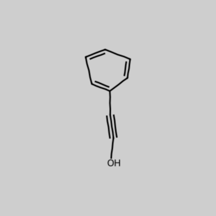 OC#Cc1ccccc1